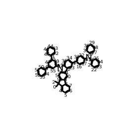 CC1(C)c2ccccc2-c2cc3c4cc(-c5ccc(N(c6ccccc6)c6ccccc6)cc5)ccc4n(-c4cc(-c5ccccc5)cc(-c5ccccc5)c4)c3cc21